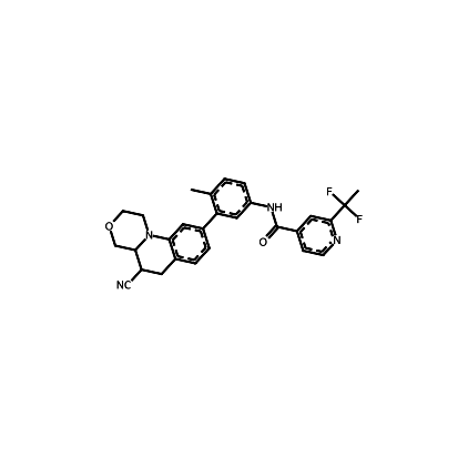 Cc1ccc(NC(=O)c2ccnc(C(C)(F)F)c2)cc1-c1ccc2c(c1)N1CCOCC1C(C#N)C2